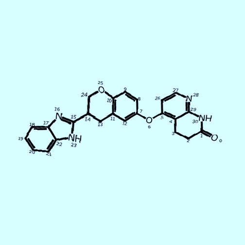 O=C1CCc2c(Oc3ccc4c(c3)CC(c3nc5ccccc5[nH]3)CO4)ccnc2N1